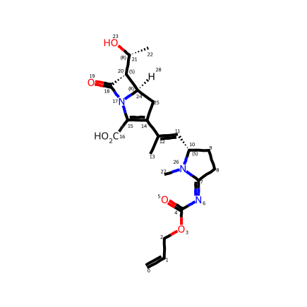 C=CCOC(=O)N=C1CC[C@@H](C=C(C)C2=C(C(=O)O)N3C(=O)[C@H]([C@@H](C)O)[C@H]3C2)N1C